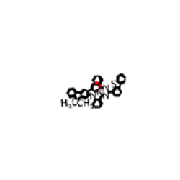 CC1(C)c2ccccc2-c2cc3c4ccccc4n(-c4ccccc4-c4nc(-c5ccccc5)nc(-c5cccc6c5sc5ccccc56)n4)c3cc21